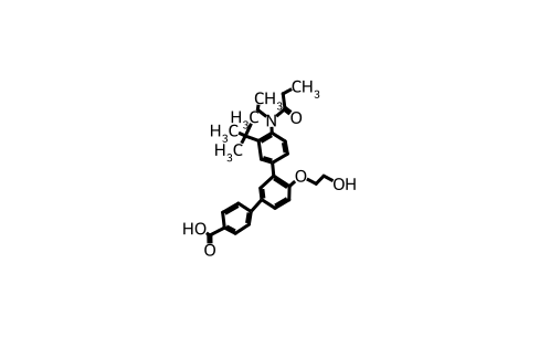 CCC(=O)N(CC)c1ccc(-c2cc(-c3ccc(C(=O)O)cc3)ccc2OCCO)cc1C(C)(C)C